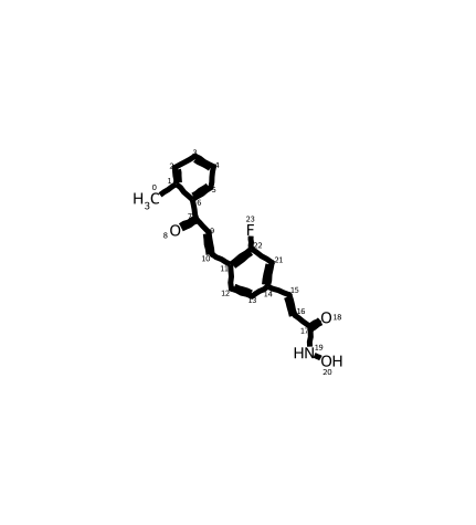 Cc1ccccc1C(=O)C=Cc1ccc(C=CC(=O)NO)cc1F